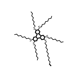 C=CCCCCCCCCCCSc1cc2c3cc(SCCCCCCCC)c(SCCCCCCCC)cc3c3cc(SCCCCCCCC)c(SCCCCCCCC)cc3c2cc1SCCCCCCCC